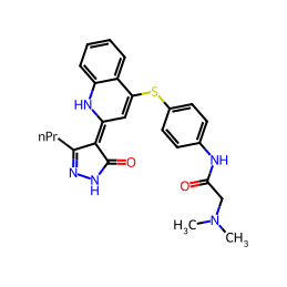 CCCC1=NNC(=O)C1=C1C=C(Sc2ccc(NC(=O)CN(C)C)cc2)c2ccccc2N1